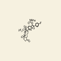 CCc1cc2c(OC(=O)NC)c(-c3ccc(F)cc3)oc2nc1N(CCCC1C(=O)CCS1(=O)=O)S(C)(=O)=O